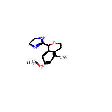 COc1cccc2c1CCOC2C1=NCCN1.O=S(=O)(O)O